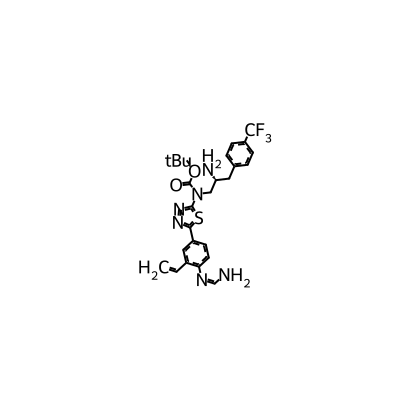 C=Cc1cc(-c2nnc(N(C[C@@H](N)Cc3ccc(C(F)(F)F)cc3)C(=O)OC(C)(C)C)s2)ccc1/N=C\N